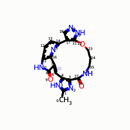 Cc1nc2c([nH]1)/C=C1\C(=O)Nc3ccc(nc31)-c1cn[nH]c1OCCCNC2=O